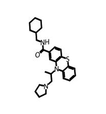 CC(CN1CCCC1)N1c2ccccc2Sc2ccc(C(=O)NCC3CCCCC3)cc21